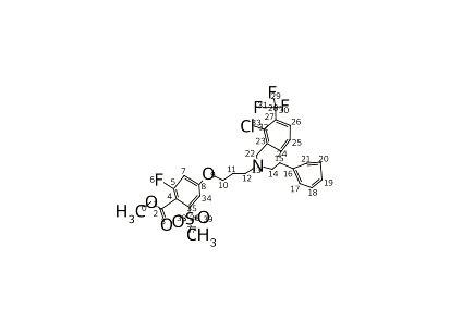 COC(=O)c1c(F)cc(OCCCN(CCc2ccccc2)Cc2cccc(C(F)(F)F)c2Cl)cc1S(C)(=O)=O